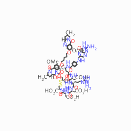 C=C1C[C@H]2C=Nc3cc(OCCCCCOc4cc5c(cc4OC)C(=O)N4CC(=C)C[C@H]4[C@H](O)N5C(=O)OCC(C)SSC[C@H](NC(=O)[C@H](CC(=O)O)NC(=O)[C@H](CC(=O)O)NC(=O)[C@H](CCCNC(=N)N)NC(=O)[C@H](CC(=O)O)NC(=O)CC[C@@H](C)NC(=O)c4ccc(NCc5cnc6nc(N)[nH]c(=O)c6n5)cc4)C(=O)O)c(OC)cc3C(=O)N2C1